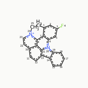 Cc1cc(F)cc2c1c1c3c(ccc4c5ccccc5n2c43)cc[n+]1C